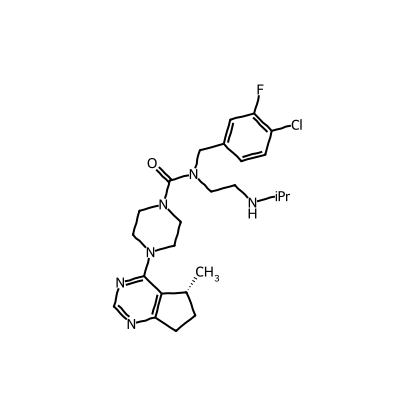 CC(C)NCCN(Cc1ccc(Cl)c(F)c1)C(=O)N1CCN(c2ncnc3c2[C@H](C)CC3)CC1